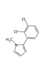 Cn1[c]ccc1-c1cccc(Cl)c1Cl